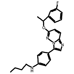 CCCCNc1ccc(-c2cnc3ccc(OC(C)c4cccc(F)c4)nn23)cc1